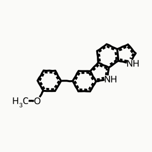 COc1cccc(-c2ccc3[nH]c4c(ccc5cc[nH]c54)c3c2)c1